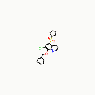 O=S(=O)(c1cc(Cl)c(OCc2ccccc2)c2ncccc12)C1CCCC1